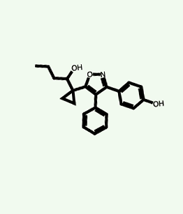 CCCC(O)C1(c2onc(-c3ccc(O)cc3)c2-c2ccccc2)CC1